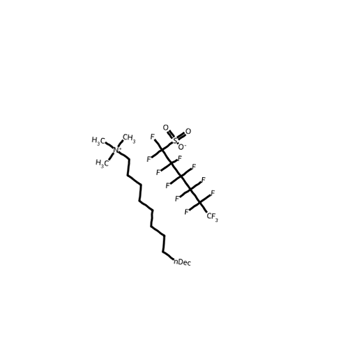 CCCCCCCCCCCCCCCCCC[N+](C)(C)C.O=S(=O)([O-])C(F)(F)C(F)(F)C(F)(F)C(F)(F)C(F)(F)C(F)(F)F